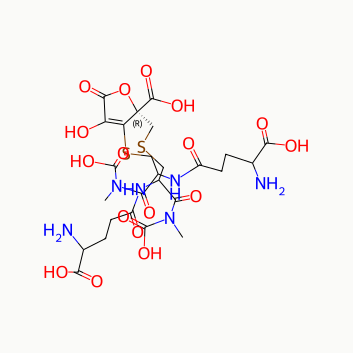 CN(C(=O)O)C(=O)C(CSC[C@@]1(C(=O)O)OC(=O)C(O)=C1SCC(NC(=O)CCC(N)C(=O)O)C(=O)N(C)C(=O)O)NC(=O)CCC(N)C(=O)O